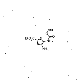 CCOC(=O)c1cc(N)c(NC(=O)OC(C)(C)C)s1